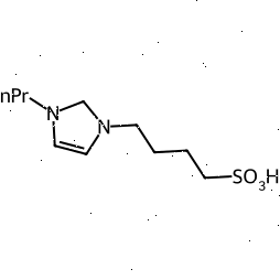 CCCN1C=CN(CCCCS(=O)(=O)O)C1